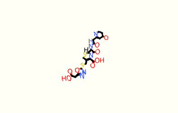 O=C(O)Cc1nnc(SCC2=C(C(=O)O)N3C(=O)C(NC(=O)CC4=CC(=O)CC=N4)[C@@H]3SC2)o1